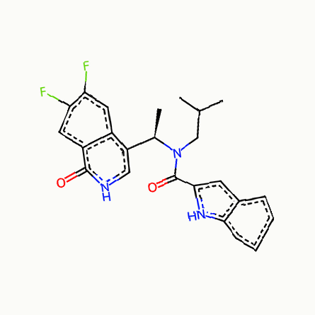 CC(C)CN(C(=O)c1cc2ccccc2[nH]1)[C@H](C)c1c[nH]c(=O)c2cc(F)c(F)cc12